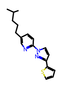 CC(C)CCCc1ccc(-n2ccc(-c3cccs3)n2)nc1